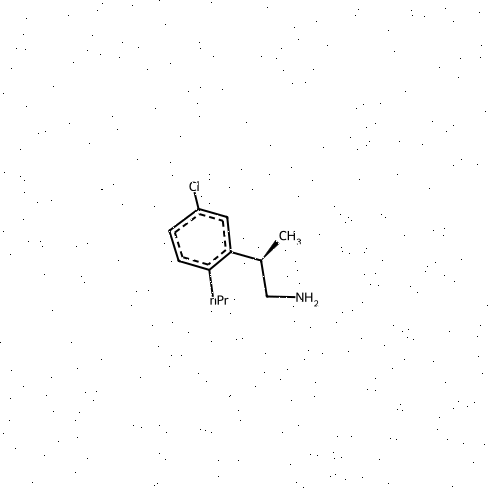 CCCc1ccc(Cl)cc1[C@@H](C)CN